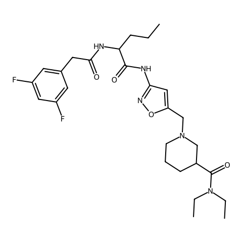 CCCC(NC(=O)Cc1cc(F)cc(F)c1)C(=O)Nc1cc(CN2CCCC(C(=O)N(CC)CC)C2)on1